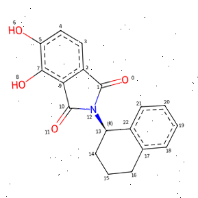 O=C1c2ccc(O)c(O)c2C(=O)N1[C@@H]1CCCc2ccccc21